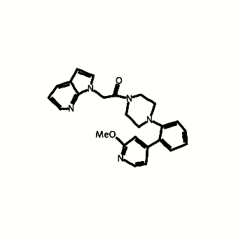 COc1cc(-c2ccccc2N2CCN(C(=O)Cn3ccc4cccnc43)CC2)ccn1